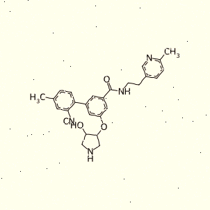 Cc1ccc(-c2cc(OC3CNCC3O)cc(C(=O)NCCc3ccc(C)nc3)c2)c(C#N)c1